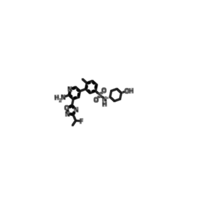 Cc1ccc(S(=O)(=O)N[C@H]2CC[C@H](O)CC2)cc1-c1cnc(N)c(-c2nc(C(C)F)no2)c1